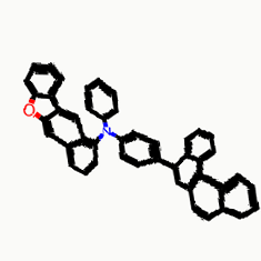 c1ccc(N(c2ccc(-c3cc4ccc5ccccc5c4c4ccccc34)cc2)c2cccc3cc4oc5ccccc5c4cc23)cc1